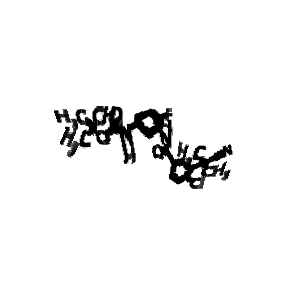 CC(C)(C)OC(=O)Nc1ccc(F)c(NC(=O)c2ccc(Cl)c(C(C)(C)C#N)c2)c1